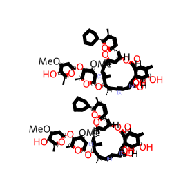 CO[C@H]1C[C@H](O[C@H]2[C@H](C)O[C@@H](O[C@@H]3/C(C)=C/C[C@@H]4C[C@@H](C[C@]5(C=C[C@H](C)[C@@H](C6CCCCC6)O5)O4)OC(=O)[C@@H]4C=C(C)[C@@H](O)[C@H]5OC/C(=C\C=C\[C@@H]3C)[C@]54O)C[C@@H]2OC)O[C@@H](C)[C@@H]1O.CO[C@H]1C[C@H](O[C@H]2[C@H](C)O[C@@H](O[C@@H]3/C(C)=C/C[C@@H]4C[C@@H](C[C@]5(C=C[C@H](C)[C@@H](C6CCCCC6)O5)O4)OC(=O)[C@@H]4C=C(C)[C@@H](O)[C@H]5OC/C(=C\C=C\[C@@H]3C)[C@]54O)C[C@@H]2OC)O[C@@H](C)[C@@H]1O